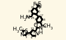 Cc1ncc(-c2ccnc(C(=O)N[C@H](C)c3ccc(-c4cc(C(F)(F)F)ccc4CN)cc3)c2)s1